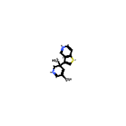 O=C(O)C1=CC(C(=O)O)(c2csc3ccncc23)CN=C1